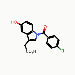 O=C(O)Cc1cn(C(=O)c2ccc(Cl)cc2)c2ccc(O)cc12